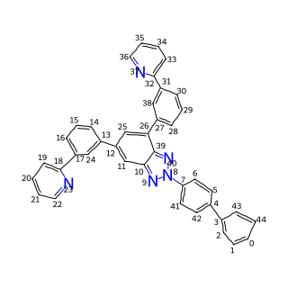 c1ccc(-c2ccc(-n3nc4cc(-c5cccc(-c6ccccn6)c5)cc(-c5cccc(-c6ccccn6)c5)c4n3)cc2)cc1